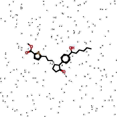 CCCCCC(O)c1ccc(C2C(=O)CC[C@@H]2CCCc2ccc(C(=O)OC)s2)cc1